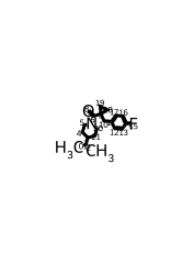 CC(C)C1CCN(C(=O)C2(Cc3ccc(F)cc3)CC2)CC1